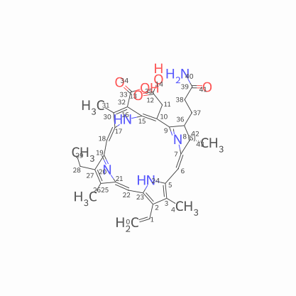 C=Cc1c(C)c2cc3nc(c(CC(=O)O)c4[nH]c(cc5nc(cc1[nH]2)C(C)=C5CC)c(C)c4C(=O)O)C(CCC(N)=O)[C@@H]3C